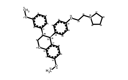 COc1cccc([C@@H]2COc3cc(OC)ccc3[C@@H]2c2ccc(OCCN3CCCC3)cc2)c1